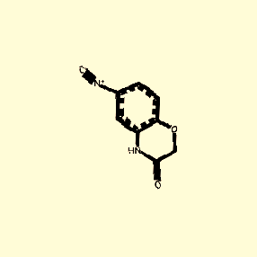 [C-]#[N+]c1ccc2c(c1)NC(=O)CO2